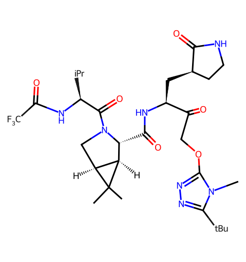 CC(C)[C@H](NC(=O)C(F)(F)F)C(=O)N1C[C@H]2[C@@H]([C@H]1C(=O)N[C@@H](C[C@@H]1CCNC1=O)C(=O)COc1nnc(C(C)(C)C)n1C)C2(C)C